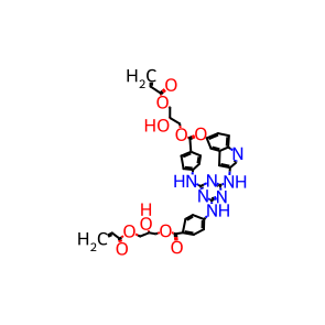 C=CC(=O)OCC(O)COC(=O)c1ccc(Nc2nc(Nc3ccc(C(=O)OCC(O)COC(=O)C=C)cc3)nc(Nc3cnc4ccccc4c3)n2)cc1